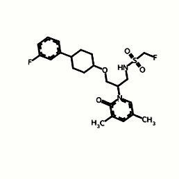 Cc1cc(C)c(=O)n(C(CNS(=O)(=O)CF)COC2CCC(c3cccc(F)c3)CC2)c1